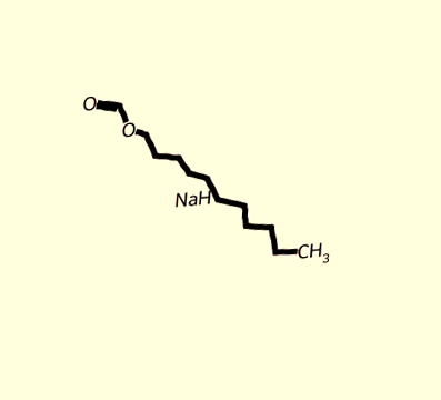 CCCCCCCCCCCOC=O.[NaH]